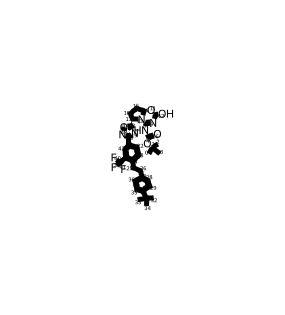 CC(C)(C)OC(=O)N/C(=N/C(=O)O)N1CCC[C@H]1c1nc(-c2ccc(CCc3ccc(C(C)(C)C)cc3)c(C(F)(F)F)c2)no1